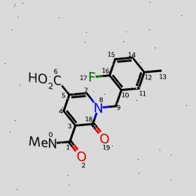 CNC(=O)c1cc(C(=O)O)cn(Cc2cc(C)ccc2F)c1=O